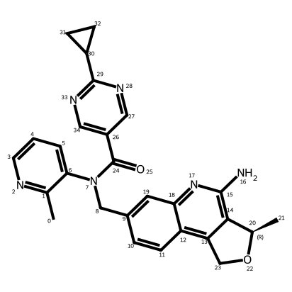 Cc1ncccc1N(Cc1ccc2c3c(c(N)nc2c1)[C@@H](C)OC3)C(=O)c1cnc(C2CC2)nc1